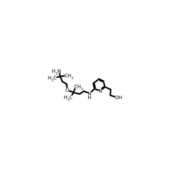 CC(C)(N)CCOC(C)(C)CCNc1cccc(CCO)n1